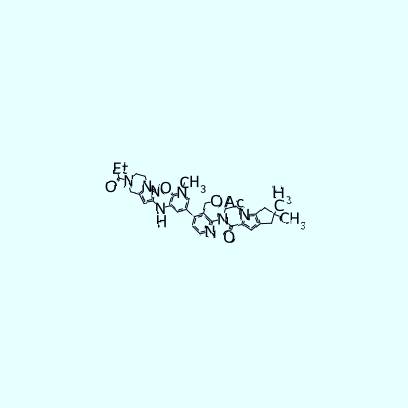 CCC(=O)N1CCn2nc(Nc3cc(-c4ccnc(N5CCn6c(cc7c6CC(C)(C)C7)C5=O)c4COC(C)=O)cn(C)c3=O)cc2C1